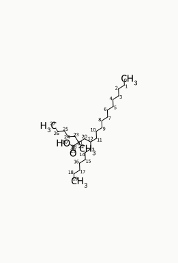 CCCCCCCCCCCCC(CCCCCCC)CC(C)(CCCCC)C(=O)O